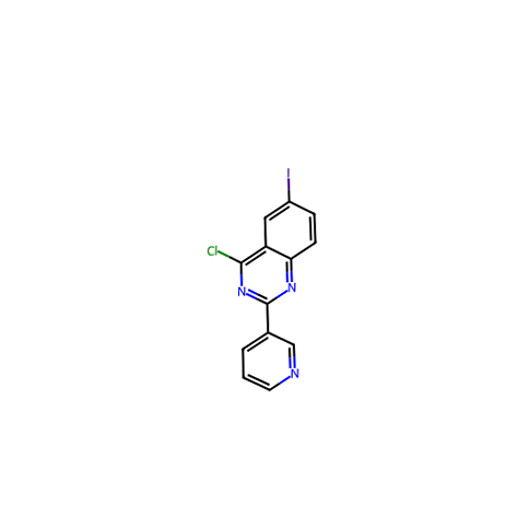 Clc1nc(-c2cccnc2)nc2ccc(I)cc12